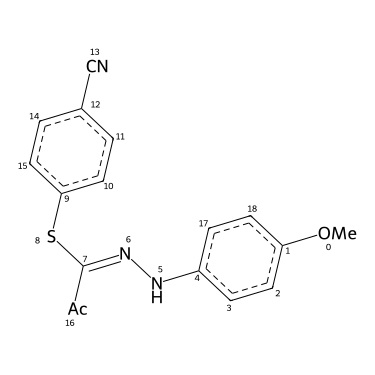 COc1ccc(N/N=C(/Sc2ccc(C#N)cc2)C(C)=O)cc1